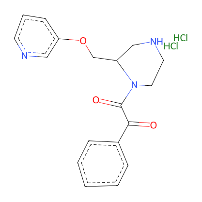 Cl.Cl.O=C(C(=O)N1CCNCC1COc1cccnc1)c1ccccc1